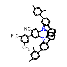 Cc1ccc(-c2ccc3c4ccccc4n(-c4cc(C#N)c(-c5cc(C(F)(F)F)cc(C(F)(F)F)c5)cc4-n4c5ccccc5c5ccc(-c6ccc(C)cc6C)cc54)c3c2)c(C)c1